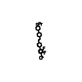 CCCC1CCC(C2CCC(/C=C/C3C=CC(c4ccc(C5CO5)c(F)c4F)CC3)CC2)CC1